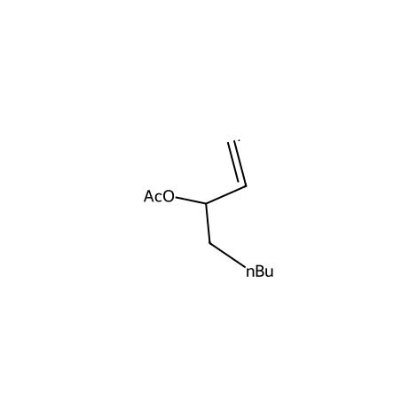 [CH]=CC(CCCCC)OC(C)=O